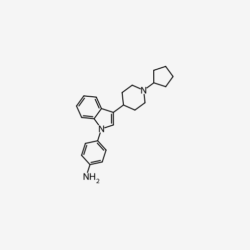 Nc1ccc(-n2cc(C3CCN(C4CCCC4)CC3)c3ccccc32)cc1